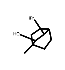 CC(C)C1C2CCC(C)(CC2)C1O